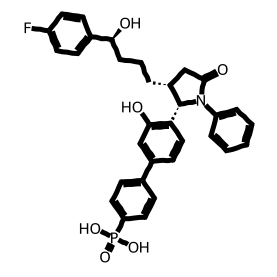 O=C1C[C@@H](CCC[C@H](O)c2ccc(F)cc2)[C@@H](c2ccc(-c3ccc(P(=O)(O)O)cc3)cc2O)N1c1ccccc1